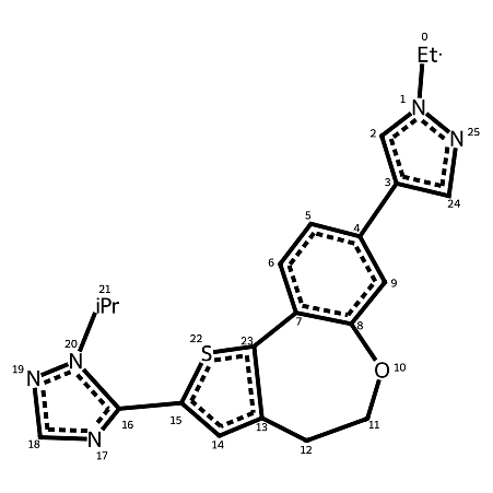 [CH2][CH]n1cc(-c2ccc3c(c2)OCCc2cc(-c4ncnn4C(C)C)sc2-3)cn1